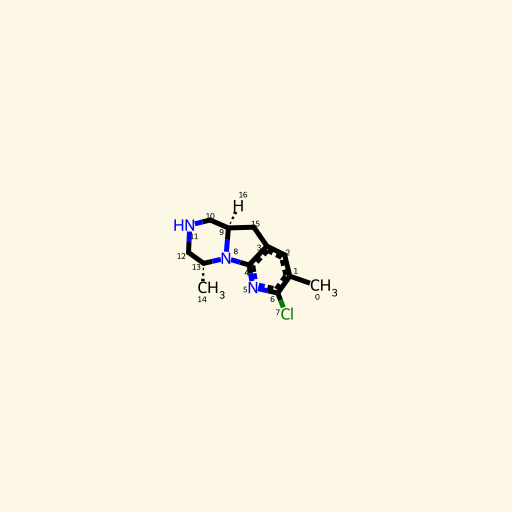 Cc1cc2c(nc1Cl)N1[C@@H](CNC[C@H]1C)C2